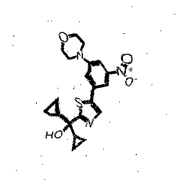 O=[N+]([O-])c1cc(-c2cnc(C(O)(C3CC3)C3CC3)s2)cc(N2CCOCC2)c1